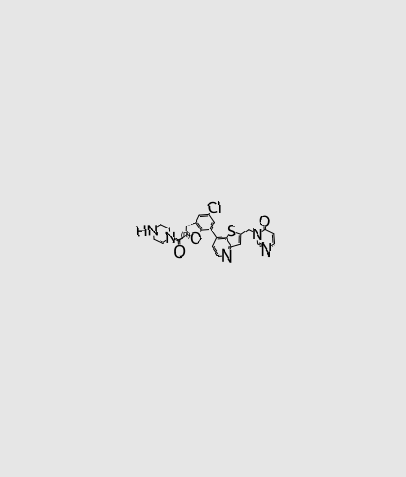 O=C([C@H]1Cc2cc(Cl)cc(-c3ccnc4cc(Cn5cnccc5=O)sc34)c2O1)N1CCNCC1